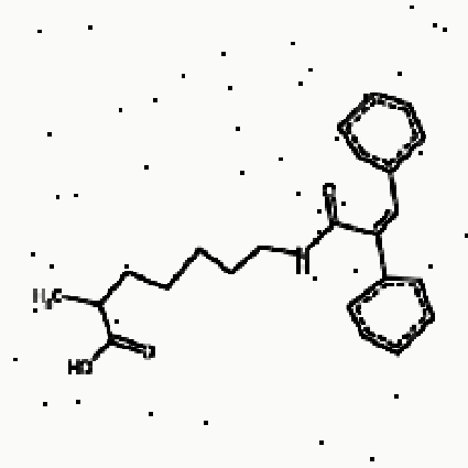 CC(CCCCCNC(=O)C(=Cc1ccccc1)c1ccccc1)C(=O)O